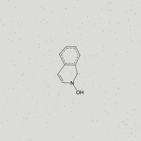 ON1[CH]c2ccccc2C=C1